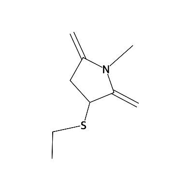 C=C1CC(SCC)C(=C)N1C